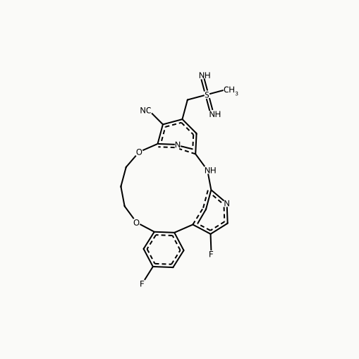 CS(=N)(=N)Cc1cc2nc(c1C#N)OCCCOc1cc(F)ccc1-c1cc(ncc1F)N2